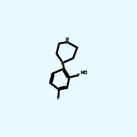 Cl.Fc1ccc(N2CCNCC2)c(F)c1